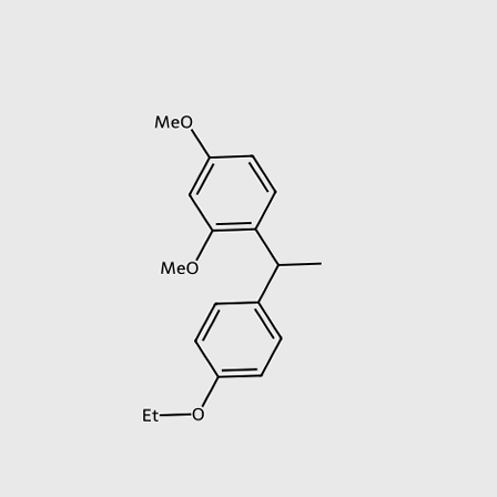 CCOc1ccc(C(C)c2ccc(OC)cc2OC)cc1